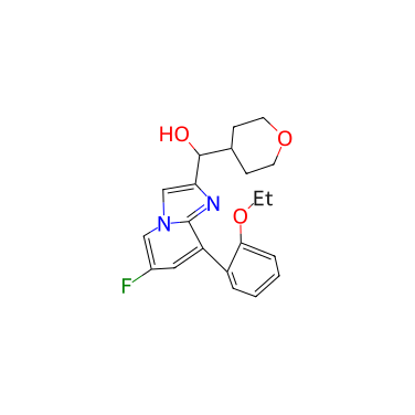 CCOc1ccccc1-c1cc(F)cn2cc(C(O)C3CCOCC3)nc12